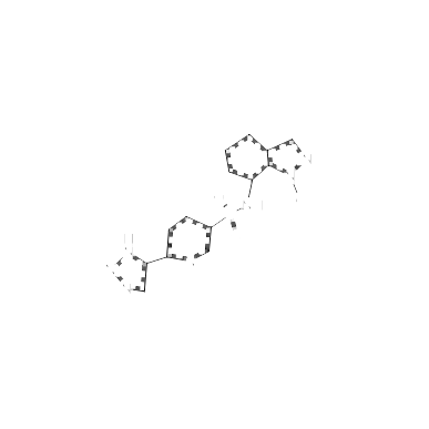 Cn1ncc2cccc(NS(=O)(=O)c3ccc(-c4cnn[nH]4)nc3)c21